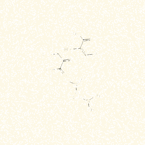 C=C(CC)C(=O)O.CC=C(C)C(=O)O.CN(C)C.CN(C)C